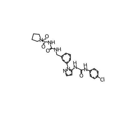 O=C(Nc1ccc(Cl)cc1)Nc1ccnn1-c1cccc(CNC(=O)NS(=O)(=O)N2CCCC2)c1